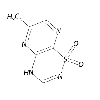 Cc1cnc2c(n1)NC=NS2(=O)=O